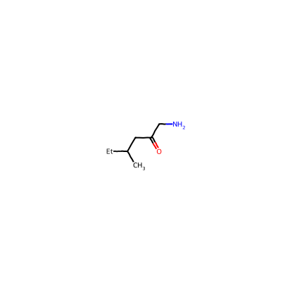 CCC(C)CC(=O)CN